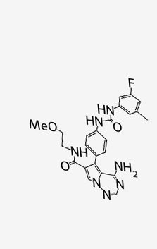 COCCNC(=O)c1cn2ncnc(N)c2c1-c1ccc(NC(=O)Nc2cc(C)cc(F)c2)cc1